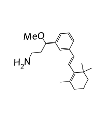 COC(CCN)c1cccc(C=CC2=C(C)CCCC2(C)C)c1